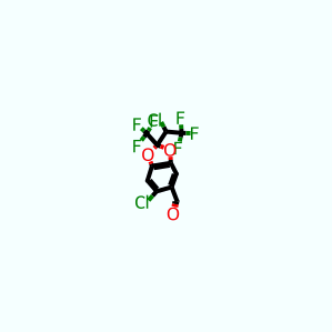 O=Cc1cc2c(cc1Cl)OC(C(Cl)C(F)(F)F)(C(F)(F)F)O2